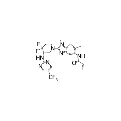 C=CC(=O)Nc1cc2nc(N3CCC(F)(F)C(Nc4ncc(C(F)(F)F)cn4)C3)n(C)c2cc1C